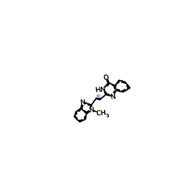 Cn1c(/C=C/c2nc3ccccc3c(=O)[nH]2)nc2ccccc21